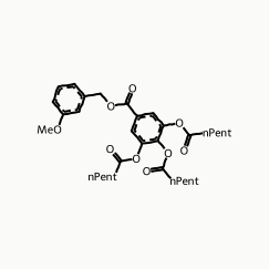 CCCCCC(=O)Oc1cc(C(=O)OCc2cccc(OC)c2)cc(OC(=O)CCCCC)c1OC(=O)CCCCC